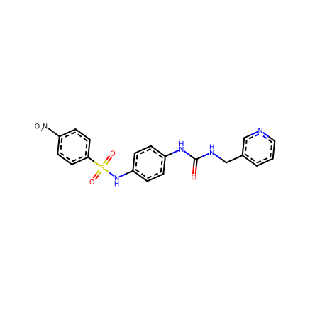 O=C(NCc1cccnc1)Nc1ccc(NS(=O)(=O)c2ccc([N+](=O)[O-])cc2)cc1